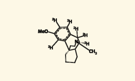 [2H]c1c([2H])c2c(c([2H])c1OC)[C@]13CCCCC1[C@@]([2H])(N(C)CC3)C2([2H])[2H]